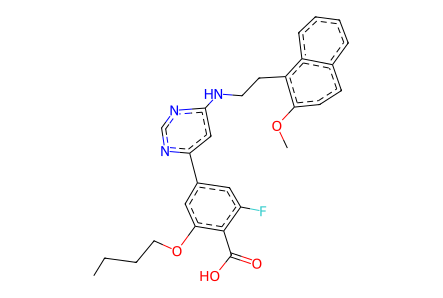 CCCCOc1cc(-c2cc(NCCc3c(OC)ccc4ccccc34)ncn2)cc(F)c1C(=O)O